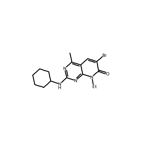 CCn1c(=O)c(Br)cc2c(C)nc(NC3CCCCC3)nc21